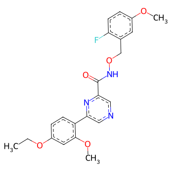 CCOc1ccc(-c2cncc(C(=O)NOCc3cc(OC)ccc3F)n2)c(OC)c1